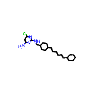 Nc1cc(Cl)nc(NCC2CCC(CCCCCCC3CCCCC3)CC2)n1